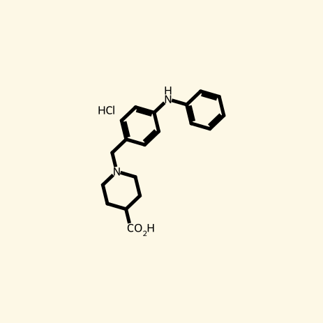 Cl.O=C(O)C1CCN(Cc2ccc(Nc3ccccc3)cc2)CC1